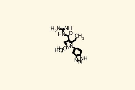 CCc1c(C(=O)NC(=N)N)cnn1-c1ccc2[nH]nnc2c1.Cl.O